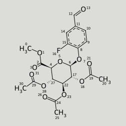 COC(=O)[C@H]1O[C@@H](Oc2ccc(C=O)cc2F)[C@H](OC(C)=O)[C@@H](OC(C)=O)[C@@H]1OC(C)=O